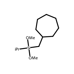 CO[Si](CC1CCCCCC1)(OC)C(C)C